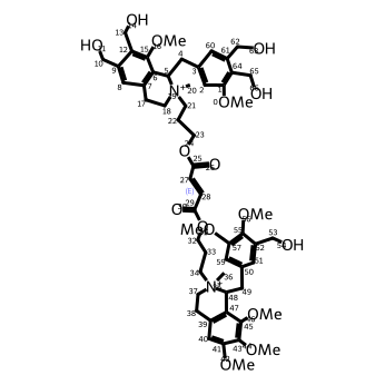 COc1cc(CC2c3c(cc(CO)c(CO)c3OC)CC[N+]2(C)CCCOC(=O)/C=C/C(=O)OCCC[N+]2(C)CCc3cc(OC)c(OC)c(OC)c3C2Cc2cc(CO)c(OC)c(OC)c2)cc(CO)c1CO